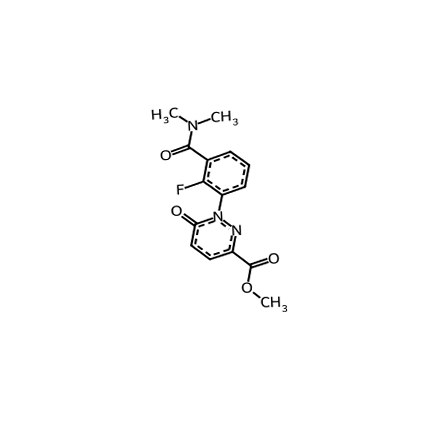 COC(=O)c1ccc(=O)n(-c2cccc(C(=O)N(C)C)c2F)n1